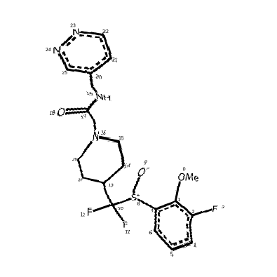 COc1c(F)cccc1[S+]([O-])C(F)(F)C1CCN(C(=O)Nc2ccnnc2)CC1